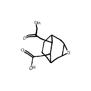 O=C(O)C1C2CCC(C3OC23)C1C(=O)O